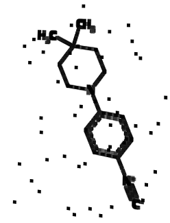 [C-]#[N+]c1ccc(N2CCC(C)(C)CC2)cc1